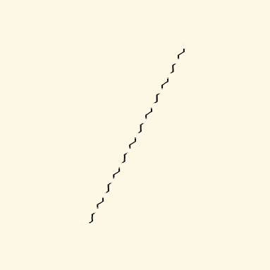 CC(=O)CCOCCOCCOCCOCCOCCOCCOCCOCCOCCOCCOCCC(C)=O